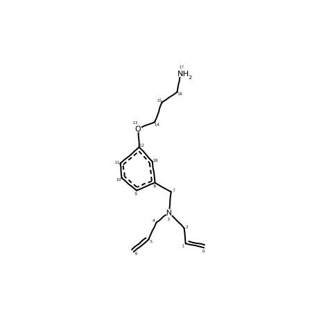 C=CCN(CC=C)Cc1cccc(OCCCN)c1